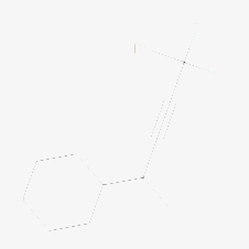 CC(C#CC(F)(F)Br)C1CCCCC1